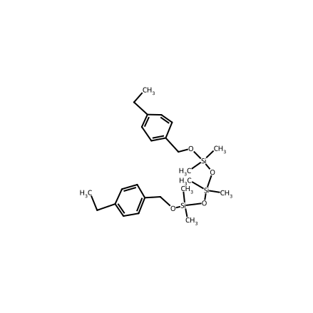 CCc1ccc(CO[Si](C)(C)O[Si](C)(C)O[Si](C)(C)OCc2ccc(CC)cc2)cc1